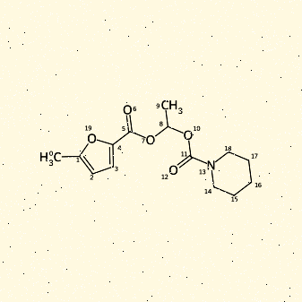 Cc1ccc(C(=O)OC(C)OC(=O)N2CCCCC2)o1